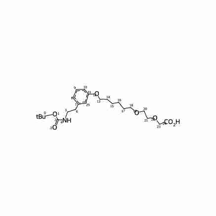 CC(C)(C)OC(=O)NCCc1cccc(OCCCCCCOCCOCC(=O)O)c1